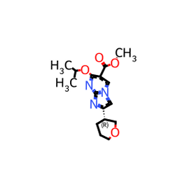 COC(=O)c1cn2cc([C@H]3CCCOC3)nc2nc1OC(C)C